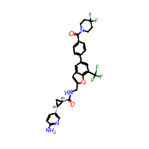 Nc1ccc([C@@H]2C[C@H]2C(=O)NCc2cc3cc(-c4ccc(C(=O)N5CCC(F)(F)CC5)cc4)cc(C(F)(F)F)c3o2)cn1